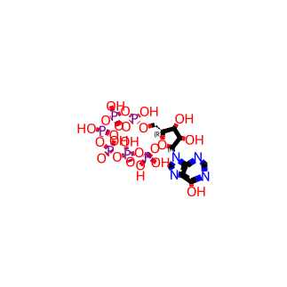 O=P(O)(O)OP(=O)(O)OP(=O)(O)OP(=O)(O)OP(=O)(O)OP(=O)(O)OC[C@H]1O[C@@H](n2cnc3c(O)ncnc32)C(O)C1O